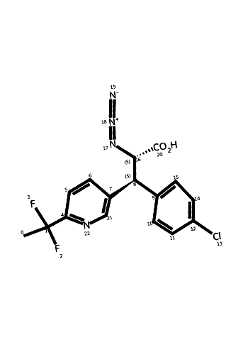 CC(F)(F)c1ccc([C@H](c2ccc(Cl)cc2)[C@H](N=[N+]=[N-])C(=O)O)cn1